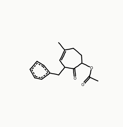 CC(=O)OC1CCC(C)=CC(Cc2ccccc2)C1=O